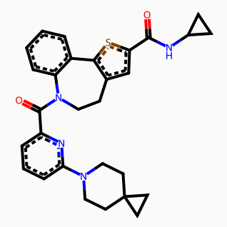 O=C(NC1CC1)c1cc2c(s1)-c1ccccc1N(C(=O)c1cccc(N3CCC4(CC3)CC4)n1)CC2